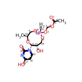 B[PH]1(OCOC(C)=O)OC[C@H](C)O[C@@H](n2ccc(O)nc2=O)[C@@H](O)CO1